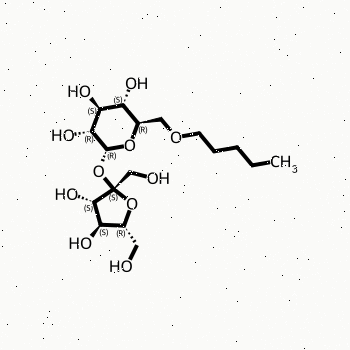 CCCCCOC[C@H]1O[C@H](O[C@]2(CO)O[C@H](CO)[C@@H](O)[C@@H]2O)[C@H](O)[C@@H](O)[C@@H]1O